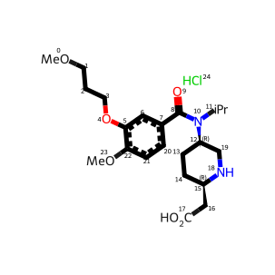 COCCCOc1cc(C(=O)N(C(C)C)[C@@H]2CC[C@H](CC(=O)O)NC2)ccc1OC.Cl